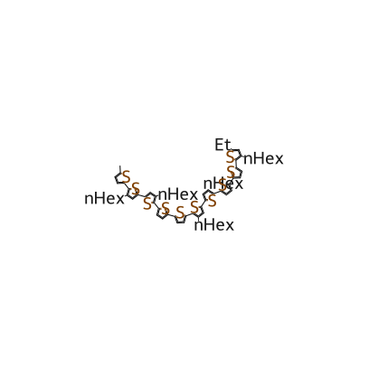 CCCCCCc1cc(CC)sc1-c1ccc(-c2ccc(-c3sc(-c4cc(CCCCCC)c(-c5ccc(-c6ccc(-c7sc(-c8cc(CCCCCC)c(-c9ccc(C)s9)s8)cc7CCCCCC)s6)s5)s4)cc3CCCCCC)s2)s1